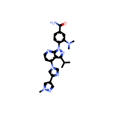 CC(C)c1nn(-c2ccc(C(N)=O)cc2N(C)C)c2nccc(-n3cnc(-c4cnn(C)c4)c3)c12